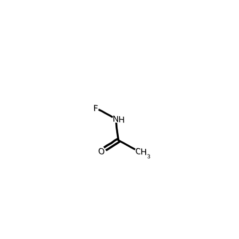 CC(=O)NF